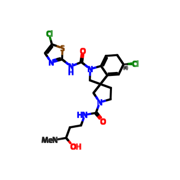 CNC(O)CCNC(=O)N1CCC2(C1)CN(C(=O)Nc1ncc(Cl)s1)C1=CC[C@@H](Cl)C=C12